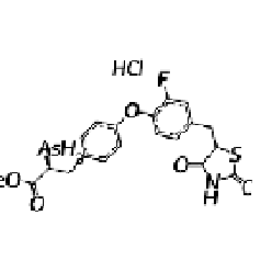 COC(=O)[C@@H]([AsH2])Cc1ccc(Oc2ccc(CC3SC(=O)NC3=O)cc2F)cc1.Cl